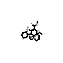 CCC12C=CCN3CC[C@]4(C(=C(C(=O)OC)C1)Nc1ccccc14)[C@@H]32